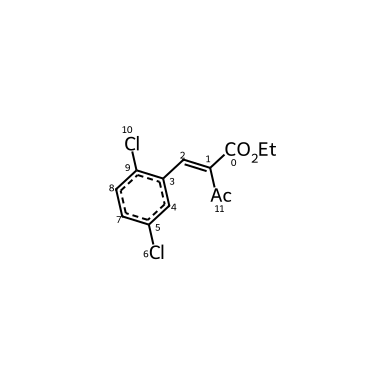 CCOC(=O)/C(=C/c1cc(Cl)ccc1Cl)C(C)=O